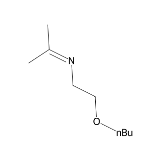 CCCCOCCN=C(C)C